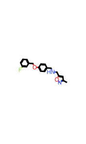 Cc1cc(CNCc2ccc(OCc3cccc(F)c3)cc2)on1